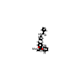 C=CC(=C)N1C[C@H]2CC[C@@H](C1)N2C(=O)c1cc(Sc2cnc(NC(=O)c3ccsc3)s2)c(C)cc1OC